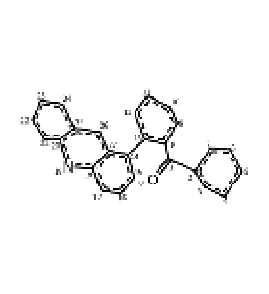 O=C(c1ccccc1)c1ccccc1-c1cccc2nc3ccccc3cc12